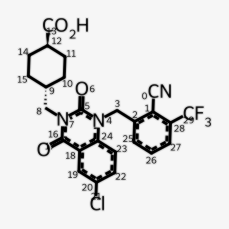 N#Cc1c(Cn2c(=O)n(C[C@H]3CC[C@H](C(=O)O)CC3)c(=O)c3cc(Cl)ccc32)cccc1C(F)(F)F